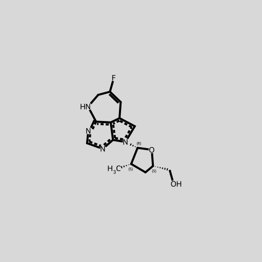 C[C@H]1C[C@@H](CO)O[C@H]1n1cc2c3c(ncnc31)NCC(F)=C2